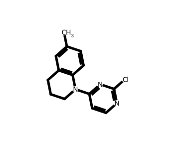 Cc1ccc2c(c1)CCCN2c1ccnc(Cl)n1